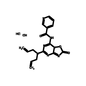 C=CCN(CC=C)c1nc(NC(=O)c2cccnc2)n2oc(=O)nc2n1.Cl.Cl